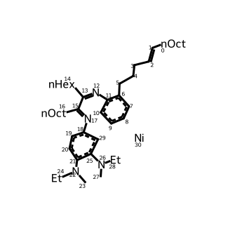 CCCCCCCCC=CCCCc1ccccc1N=C(CCCCCC)C(CCCCCCCC)=Nc1ccc(N(C)CC)c(N(C)CC)c1.[Ni]